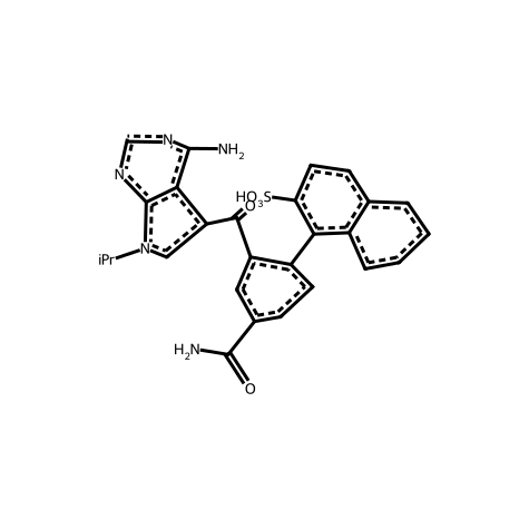 CC(C)n1cc(C(=O)c2cc(C(N)=O)ccc2-c2c(S(=O)(=O)O)ccc3ccccc23)c2c(N)ncnc21